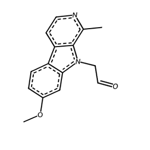 COc1ccc2c3ccnc(C)c3n(CC=O)c2c1